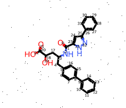 O=C(NC(Cc1ccc(-c2ccccc2)cc1)CC(O)C(=O)O)c1cc(-c2ccccc2)n[nH]1